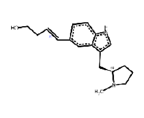 CN1CCC[C@@H]1Cc1c[nH]c2ccc(/C=C/CCO)cc12